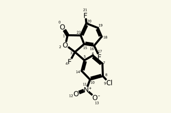 O=C1OC(F)(c2ccc(Cl)c([N+](=O)[O-])c2)c2c(F)ccc(F)c21